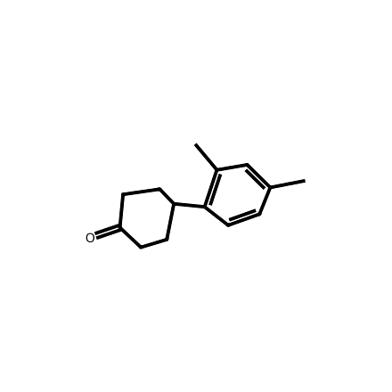 Cc1ccc(C2CCC(=O)CC2)c(C)c1